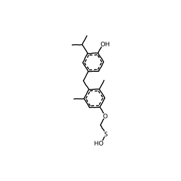 Cc1cc(OCSO)cc(C)c1Cc1ccc(O)c(C(C)C)c1